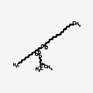 CCCCCC=CCC=CCCCCCCCC(=O)OCCC(CCCCCCCCCCCC)OC(=O)OCCCN(CC)CC